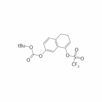 CC(C)(C)OC(=O)Oc1ccc2c(c1)C(OS(=O)(=O)C(F)(F)F)=CCC2